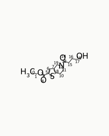 CCOC(=O)c1cc2c(s1)CCN(C(=O)CCCO)C2